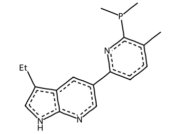 CCc1c[nH]c2ncc(-c3ccc(C)c(P(C)C)n3)cc12